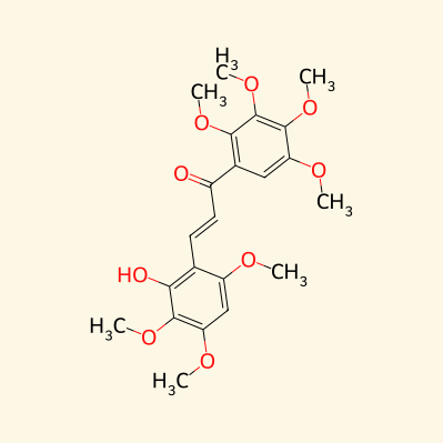 COc1cc(OC)c(OC)c(O)c1C=CC(=O)c1cc(OC)c(OC)c(OC)c1OC